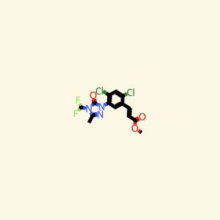 COC(=O)/C=C/c1cc(-n2nc(C)n(C(F)F)c2=O)c(Cl)cc1Cl